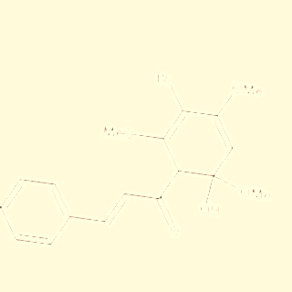 COC1=CC(O)(OC)C(C(=O)/C=C/c2ccccc2)C(OC)=C1Br